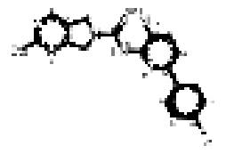 CCc1ncc2c(n1)CN(C(=O)Nc1nc(-c3c#cc(F)cc3)ccc1N)C2